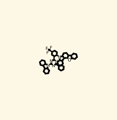 FC(F)(F)c1ccc(-n2c3ccccc3c3c4oc5ccccc5c4ccc32)c(-c2nc(-c3ccccc3)nc(-n3c4ccccc4c4ccccc43)n2)c1